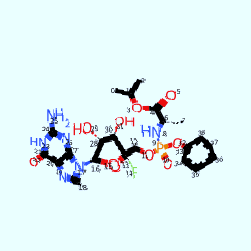 CC(C)OC(=O)[C@H](C)N[P@](=O)(OC[C@@]1(F)O[C@@H](n2cnc3c(=O)[nH]c(N)nc32)[C@H](O)[C@@H]1O)Oc1ccccc1